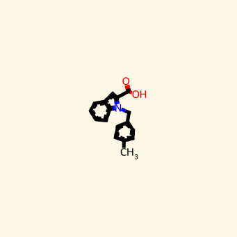 Cc1ccc(Cn2c(C(=O)O)cc3ccccc32)cc1